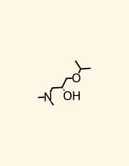 CC(C)OC[C@H](O)CN(C)C